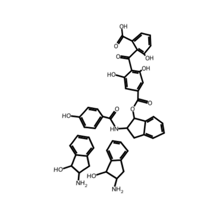 NC1Cc2ccccc2C1O.NC1Cc2ccccc2C1O.O=C(NC1Cc2ccccc2C1OC(=O)c1cc(O)c(C(=O)c2c(O)cccc2C(=O)O)c(O)c1)c1ccc(O)cc1